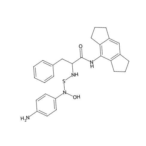 Nc1ccc(N(O)SNC(Cc2ccccc2)C(=O)Nc2c3c(cc4c2CCC4)CCC3)cc1